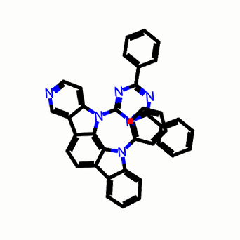 c1ccc(-c2nc(-c3ccccc3)nc(-n3c4ccncc4c4ccc5c6ccccc6n(-c6ccccc6)c5c43)n2)cc1